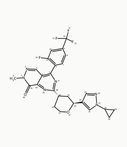 Cn1ncc2c(-c3ccc(C(F)(F)F)cc3F)nc([C@H]3CCO[C@H](c4cnn(C5CC5)c4)C3)nc2c1=O